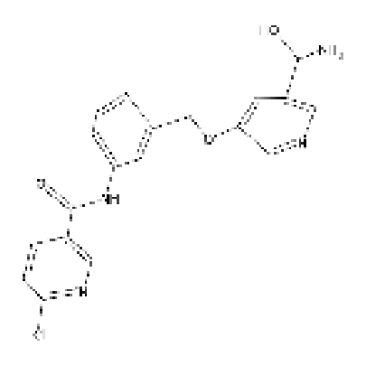 NC(O)c1cncc(OCc2cccc(NC(=O)c3ccc(Cl)nc3)c2)c1